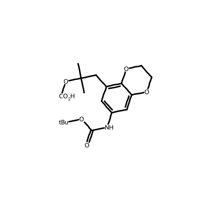 CC(C)(C)OC(=O)Nc1cc(CC(C)(C)OC(=O)O)c2c(c1)OCCO2